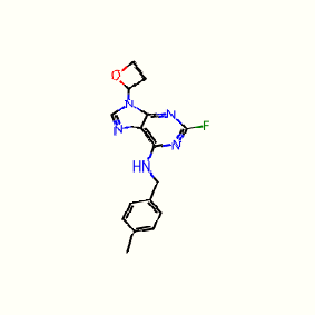 Cc1ccc(CNc2nc(F)nc3c2ncn3C2CCO2)cc1